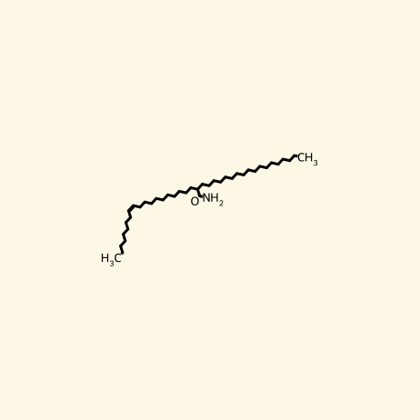 CCCCCCCC/C=C\CCCCCCCCCCC(CCCCCCCCCCCCCCCCCC)C(N)=O